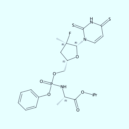 CC(C)OC(=O)[C@H](C)NP(=O)(OC[C@@H]1C[C@@](C)(F)[C@H](n2ccc(=S)[nH]c2=S)O1)Oc1ccccc1